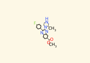 COC(=O)c1ccc2nc(-c3ccc(F)cc3)c(N3CCNCC3C)nc2c1